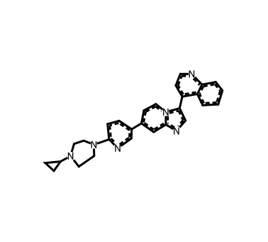 c1ccc2c(-c3cnc4cc(-c5ccc(N6CCN(C7CC7)CC6)nc5)ccn34)ccnc2c1